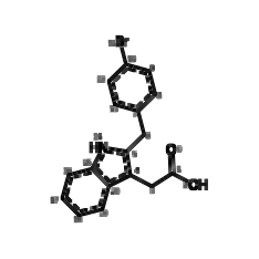 O=C(O)Cc1c(Cc2ccc(Br)cc2)[nH]c2ccccc12